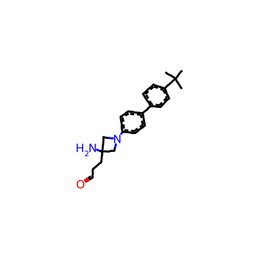 CC(C)(C)c1ccc(-c2ccc(N3CC(N)(CCC=O)C3)cc2)cc1